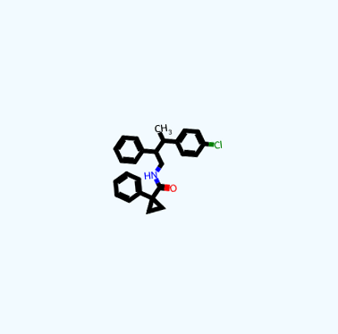 CC(c1ccc(Cl)cc1)C(CNC(=O)C1(c2ccccc2)CC1)c1ccccc1